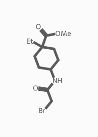 CCC1(C(=O)OC)CCC(NC(=O)CBr)CC1